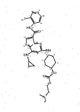 CN(C)CCOC(=O)N[C@H]1CC[C@H](Nc2cc(NC3CC3)c3ncc(C(=O)Nc4ccncc4F)n3n2)CC1